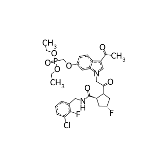 CCOP(=O)(COc1ccc2c(C(C)=O)cn(CC(=O)C3C[C@H](F)C[C@H]3C(=O)NCc3cccc(Cl)c3F)c2c1)OCC